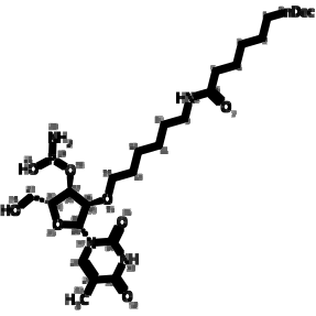 CCCCCCCCCCCCCCCC(=O)NCCCCCCO[C@@H]1[C@H](OP(N)O)[C@@H](CO)O[C@H]1n1cc(C)c(=O)[nH]c1=O